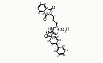 O=C(O)[C@@H](CCCN1C(=O)c2ccccc2C1=O)NS(=O)(=O)C1(Cl)C=CC(c2ccccc2)=CC1